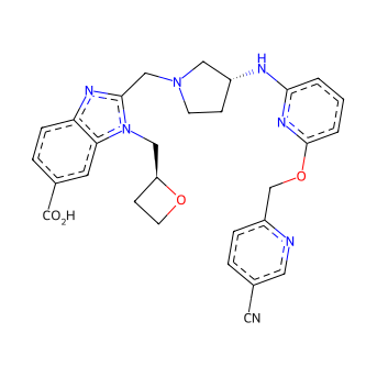 N#Cc1ccc(COc2cccc(N[C@@H]3CCN(Cc4nc5ccc(C(=O)O)cc5n4C[C@@H]4CCO4)C3)n2)nc1